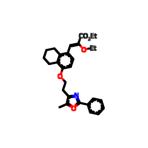 CCOC(=O)C(=Cc1ccc(OCCc2nc(-c3ccccc3)oc2C)c2c1CCCC2)OCC